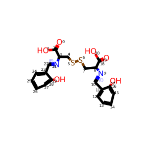 O=C(O)C(CSSCC(/N=C/c1ccccc1O)C(=O)O)/N=C/c1ccccc1O